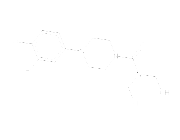 CCN(CC)C(=O)N1CCN(c2ccc(O)c(F)c2)CC1